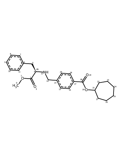 COC(=O)[C@@H](Cc1ccccc1)NCc1ccc(C(=O)OC2CCCCCC2)cc1